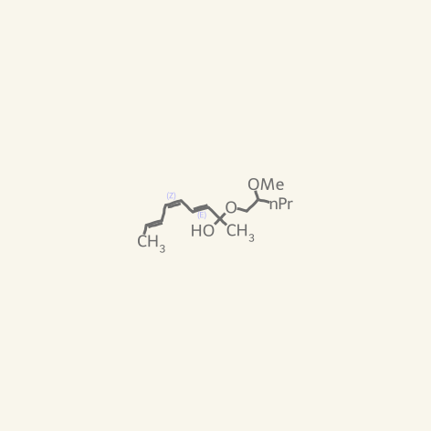 CC=C/C=C\C=C\C(C)(O)OCC(CCC)OC